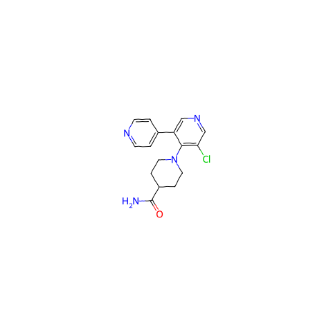 NC(=O)C1CCN(c2c(Cl)cncc2-c2ccncc2)CC1